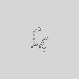 CC(COCCOCCn1cc(-c2nn(C3CCCCO3)c3ccc(O[Si](C)(C)C(C)(C)C)cc23)cc1C#N)OCc1ccccc1